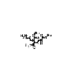 CC(C)(C)OC(=O)NCC[C@@H](C(N)=O)N(CCCN)C(=O)OC(C)(C)C